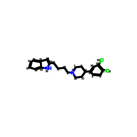 Clc1ccc(C2CCN(CCCCc3cc4ccccc4[nH]3)CC2)cc1Cl